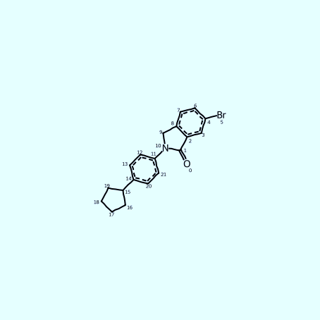 O=C1c2cc(Br)ccc2CN1c1ccc(C2CCCC2)cc1